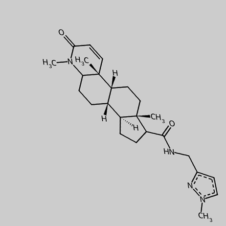 CN1C(=O)C=C[C@@]2(C)C1CC[C@@H]1[C@H]2CC[C@]2(C)C(C(=O)NCc3ccn(C)n3)CC[C@@H]12